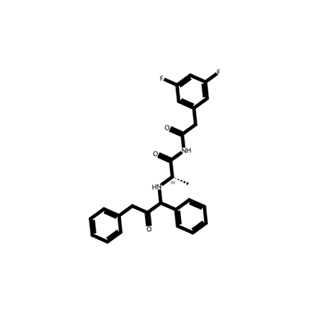 C[C@H](NC(C(=O)Cc1ccccc1)c1ccccc1)C(=O)NC(=O)Cc1cc(F)cc(F)c1